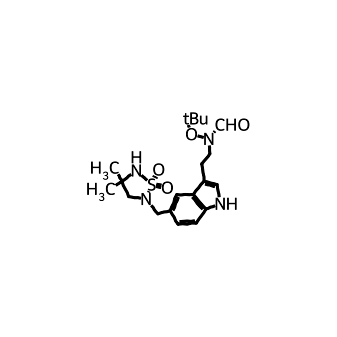 CC1(C)CN(Cc2ccc3[nH]cc(CCN(C=O)OC(C)(C)C)c3c2)S(=O)(=O)N1